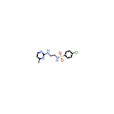 Cc1ccnc(NCCNS(=O)(=O)c2ccc(Cl)cc2)n1